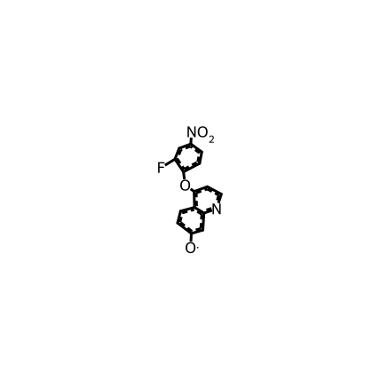 [O]c1ccc2c(Oc3ccc([N+](=O)[O-])cc3F)ccnc2c1